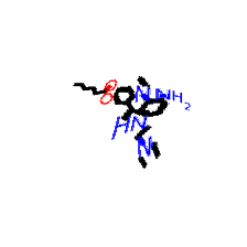 C=CN1c2ccc(OC(=O)CCCCC)cc2C(=C)c2c(NCCN(CC)CC)ccc(N)c21